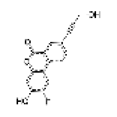 O=c1oc2cc(O)c(F)cc2c2ccc(C#CCO)cc12